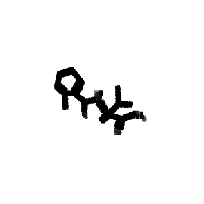 Cc1ccccc1C(=O)NC(C)(C(N)=O)C(C)C